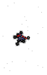 Cc1cc(-c2ccccc2)ccc1N1c2ccc(N(c3ccccc3)c3ccccc3)cc2B2c3c(cc4ccccc4c31)-c1cc(-c3ccccc3)ccc1N2c1cccc(-c2ccccc2)c1